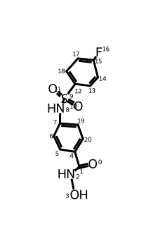 O=C(NO)c1ccc(NS(=O)(=O)c2ccc(F)cc2)cc1